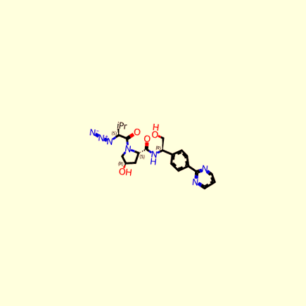 CC(C)[C@H](N=[N+]=[N-])C(=O)N1C[C@H](O)C[C@H]1C(=O)N[C@@H](CO)c1ccc(-c2ncccn2)cc1